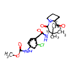 COC(=O)Nc1ccc(C(=O)N[C@H](C(=O)N2CCC[C@H]2C=O)C(C)(C)C)c(Cl)c1